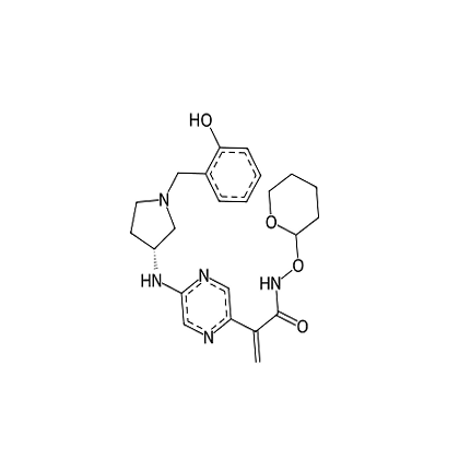 C=C(C(=O)NOC1CCCCO1)c1cnc(N[C@@H]2CCN(Cc3ccccc3O)C2)cn1